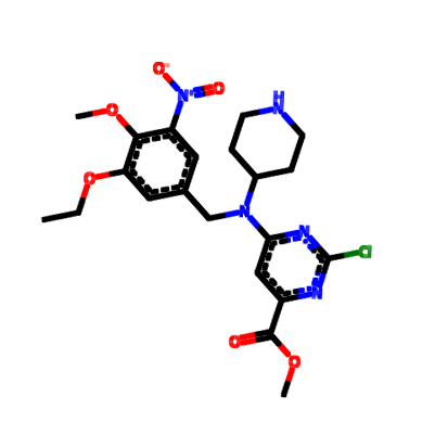 CCOc1cc(CN(c2cc(C(=O)OC)nc(Cl)n2)C2CCNCC2)cc([N+](=O)[O-])c1OC